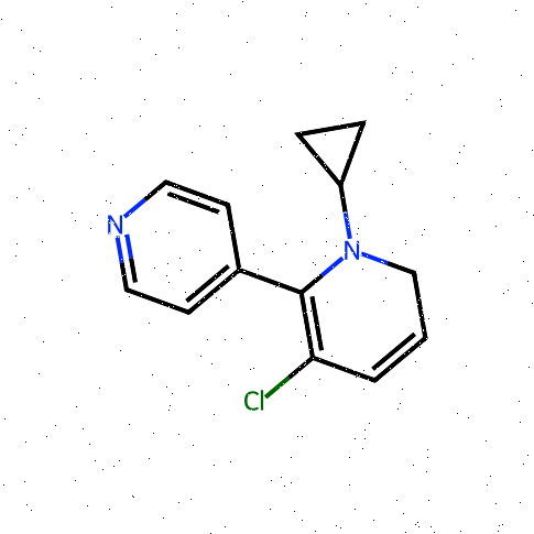 ClC1=C(c2ccncc2)N(C2CC2)CC=C1